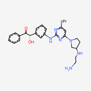 CCCc1cc(N2CCC(NCCN)C2)nc(Nc2cccc([C@H](O)C(=O)c3ccccc3)c2)n1